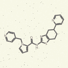 O=C(Nc1nc2c(s1)CCC(c1ccccn1)C2)c1cccn1Cc1ccncc1